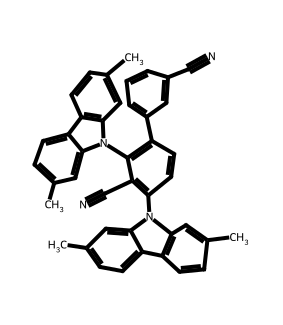 Cc1ccc2c3ccc(C)cc3n(-c3ccc(-c4cccc(C#N)c4)c(-n4c5cc(C)ccc5c5ccc(C)cc54)c3C#N)c2c1